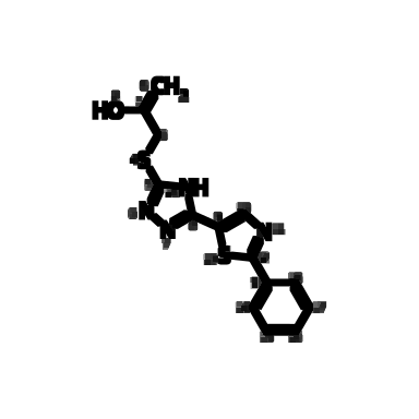 C=C(O)CSc1nnc(-c2cnc(-c3ccccc3)s2)[nH]1